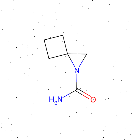 NC(=O)N1CC12CCC2